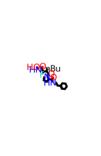 CCCCC(C(=O)N1CCCC1C(=O)NCCC1=CCCCC1)C(F)C(=O)NO